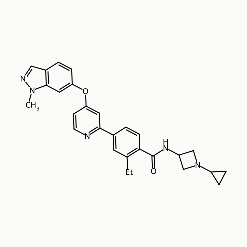 CCc1cc(-c2cc(Oc3ccc4cnn(C)c4c3)ccn2)ccc1C(=O)NC1CN(C2CC2)C1